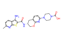 Cc1ccc2c(N)c(C(=O)N[C@H]3COc4nc(N5CCN(C(=O)O)CC5)ccc4C3)sc2n1